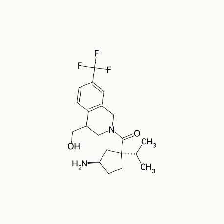 CC(C)[C@]1(C(=O)N2Cc3cc(C(F)(F)F)ccc3C(CO)C2)CC[C@@H](N)C1